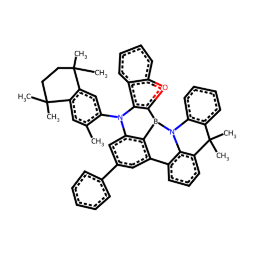 Cc1cc2c(cc1N1c3cc(-c4ccccc4)cc4c3B(c3oc5ccccc5c31)N1c3ccccc3C(C)(C)c3cccc-4c31)C(C)(C)CCC2(C)C